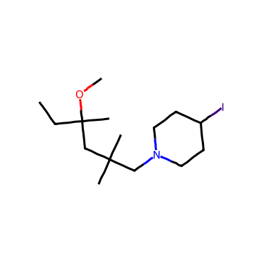 CCC(C)(CC(C)(C)CN1CCC(I)CC1)OC